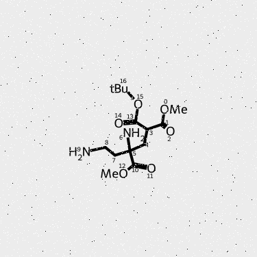 COC(=O)C(CC(N)(CCN)C(=O)OC)C(=O)OC(C)(C)C